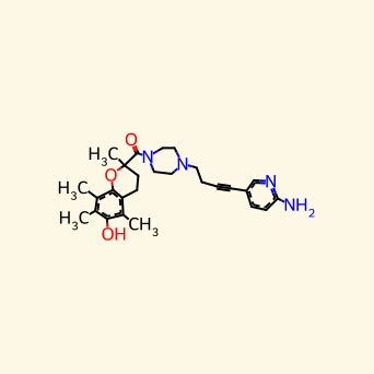 Cc1c(C)c2c(c(C)c1O)CCC(C)(C(=O)N1CCN(CCC#Cc3ccc(N)nc3)CC1)O2